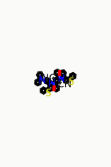 N#Cc1c(-c2ccccc2)c(-n2c3ccc(-n4c5ccccc5c5ccccc54)cc3c3c4c(ccc32)sc2ccccc24)c(C#N)c(-c2ccccc2)c1-n1c2ccccc2c2c3c(ccc21)sc1ccccc13